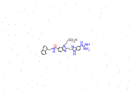 N=C(N)Nc1ccc2[nH]c(CCc3nc4ccc(C(=O)NCCc5cccc6ccccc56)cc4n3CCCS(=O)(=O)O)nc2c1